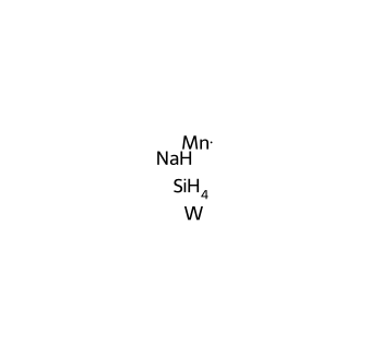 [Mn].[NaH].[SiH4].[W]